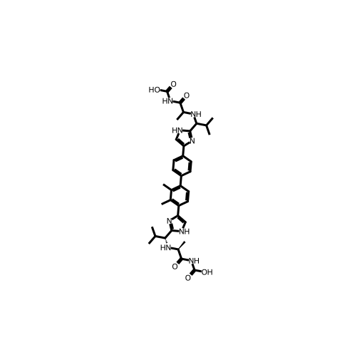 Cc1c(-c2ccc(-c3c[nH]c(C(NC(C)C(=O)NC(=O)O)C(C)C)n3)cc2)ccc(-c2c[nH]c([C@H](N[C@@H](C)C(=O)NC(=O)O)C(C)C)n2)c1C